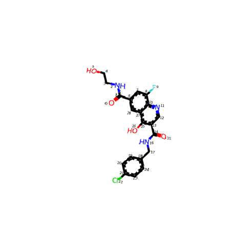 O=C(NCCO)c1cc(F)c2ncc(C(=O)NCc3ccc(Cl)cc3)c(O)c2c1